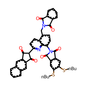 CCCCSc1cc2c(cc1SCCCC)C(=O)N(c1ccc(CN3C(=O)c4ccccc4C3=O)c3ccc(C4C(=O)c5cc6ccccc6cc5C4=O)nc13)C2=O